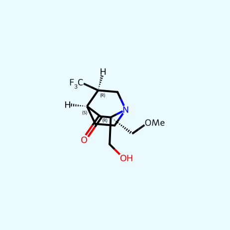 COC[C@]1(CO)C(=O)[C@H]2CCN1C[C@@H]2C(F)(F)F